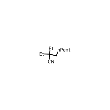 CCCCCCC(C#N)(CC)CC